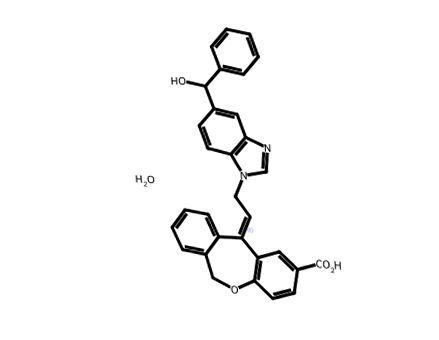 O.O=C(O)c1ccc2c(c1)/C(=C/Cn1cnc3cc(C(O)c4ccccc4)ccc31)c1ccccc1CO2